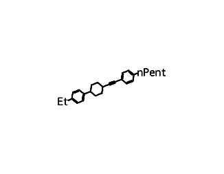 CCCCCc1ccc(C#CC2CCC(c3ccc(CC)cc3)CC2)cc1